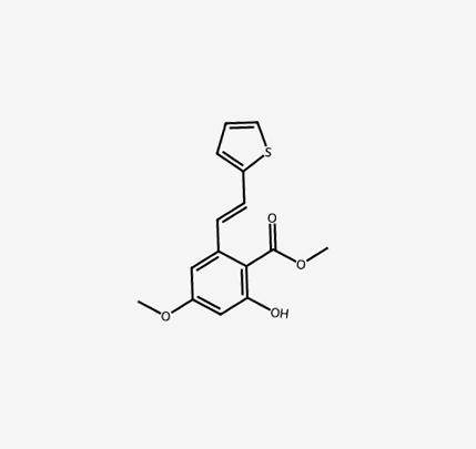 COC(=O)c1c(O)cc(OC)cc1/C=C/c1cccs1